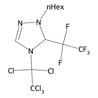 CCCCCCN1N=CN(C(Cl)(Cl)C(Cl)(Cl)Cl)C1C(F)(F)C(F)(F)F